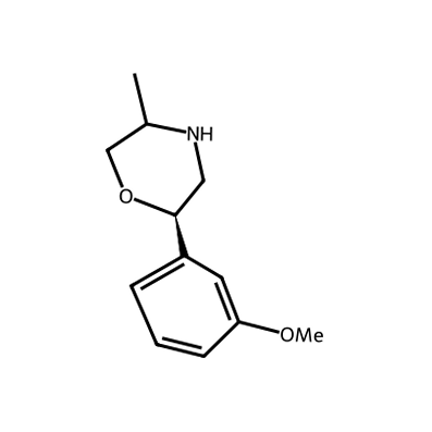 COc1cccc([C@@H]2CNC(C)CO2)c1